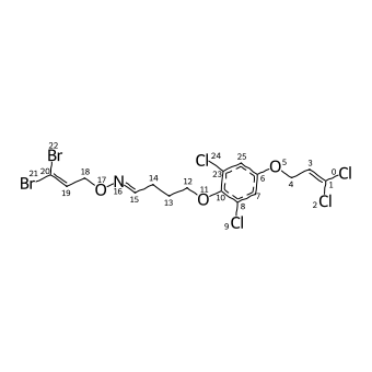 ClC(Cl)=CCOc1cc(Cl)c(OCCCC=NOCC=C(Br)Br)c(Cl)c1